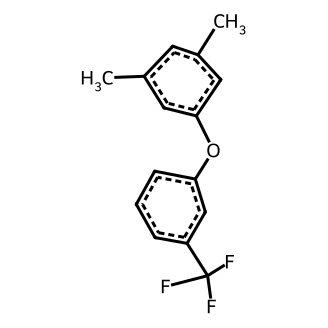 Cc1cc(C)cc(Oc2cccc(C(F)(F)F)c2)c1